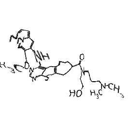 COc1cn2nccc2cc1Nc1ncnc2sc3c(c12)CCC(C(=O)N(CCO)CCCN(C)C)C3